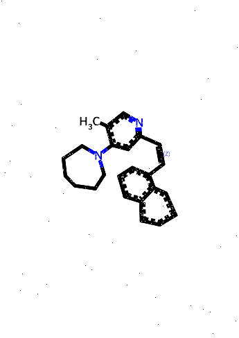 Cc1cnc(/C=C\c2cccc3ccccc23)cc1N1CCCCCC1